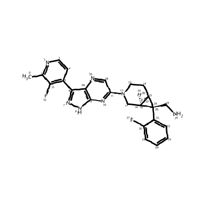 Cc1nccc(-c2n[nH]c3nc(N4CC[C@@H]5[C@H](C4)[C@@]5(CN)c4ccccc4F)cnc23)c1F